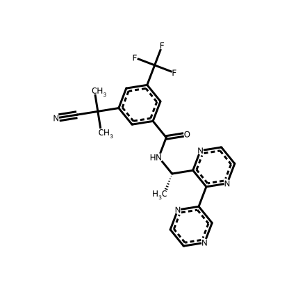 C[C@H](NC(=O)c1cc(C(F)(F)F)cc(C(C)(C)C#N)c1)c1nccnc1-c1cnccn1